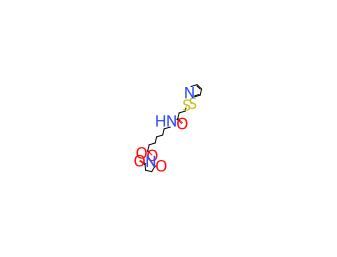 O=C(CCSSc1ccccn1)NCCCCCCC(=O)ON1C(=O)CCC1=O